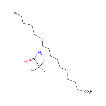 CC(C)CCCCCCCCCCCCCCC(=O)O.CCCCCCCCCCC(C)(C)C(N)=O